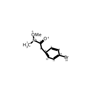 CON(C)C(=O)Cc1ccc(Br)cc1